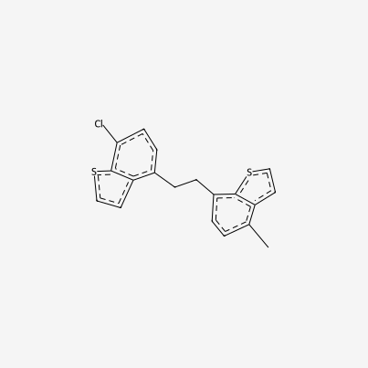 Cc1ccc(CCc2ccc(Cl)c3sccc23)c2sccc12